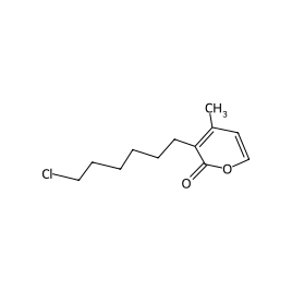 Cc1ccoc(=O)c1CCCCCCCl